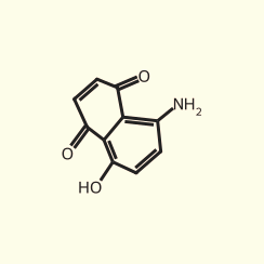 Nc1ccc(O)c2c1C(=O)C=CC2=O